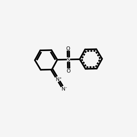 [N-]=[N+]=C1CC=CC=C1S(=O)(=O)c1ccccc1